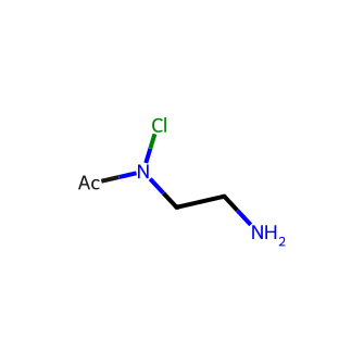 CC(=O)N(Cl)CCN